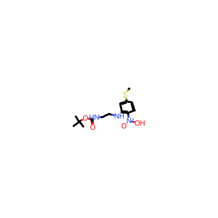 CSc1ccc([N+](=O)O)c(NCCNC(=O)OC(C)(C)C)c1